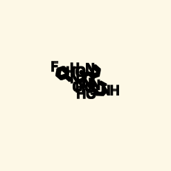 O=C(NCc1ccc(F)cc1)c1nc(N2CCNCCS2(O)O)c2cccnc2c1O